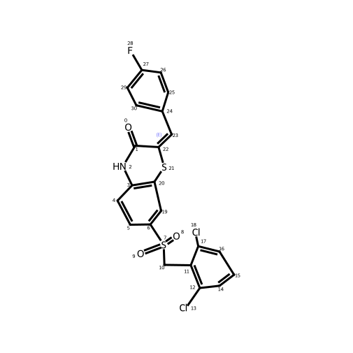 O=C1Nc2ccc(S(=O)(=O)Cc3c(Cl)cccc3Cl)cc2S/C1=C/c1ccc(F)cc1